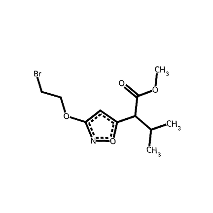 COC(=O)C(c1cc(OCCBr)no1)C(C)C